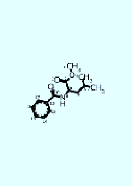 COC(=O)C(CC(C)C)NC(=O)c1ccccc1